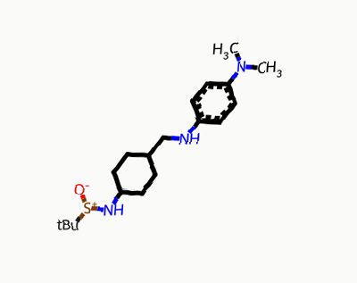 CN(C)c1ccc(NCC2CCC(N[S+]([O-])C(C)(C)C)CC2)cc1